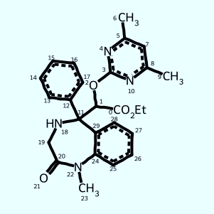 CCOC(=O)C(Oc1nc(C)cc(C)n1)C1(c2ccccc2)NCC(=O)N(C)c2ccccc21